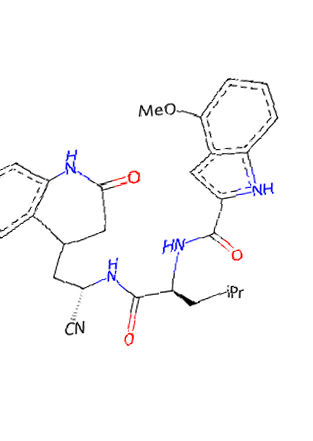 COc1cccc2[nH]c(C(=O)N[C@@H](CC(C)C)C(=O)N[C@H](C#N)CC3CC(=O)Nc4ccccc43)cc12